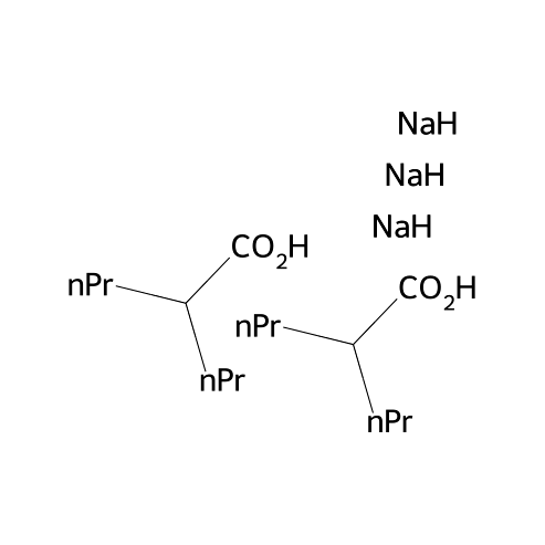 CCCC(CCC)C(=O)O.CCCC(CCC)C(=O)O.[NaH].[NaH].[NaH]